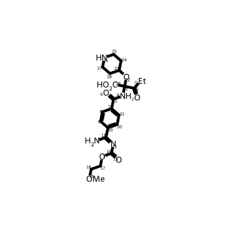 CCC(=O)C(NC(=O)c1ccc(C(N)=NC(=O)OCCOC)cc1)(OC1CCNCC1)C(=O)O